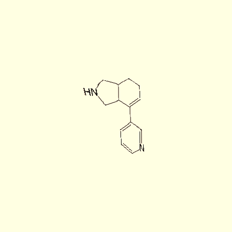 C1=C(c2cccnc2)C2CNCC2CC1